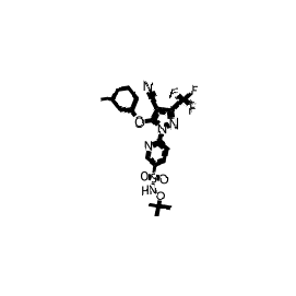 CC1CCCC(Oc2c(C#N)c(C(F)(F)F)nn2-c2ccc(S(=O)(=O)NOC(C)(C)C)cn2)C1